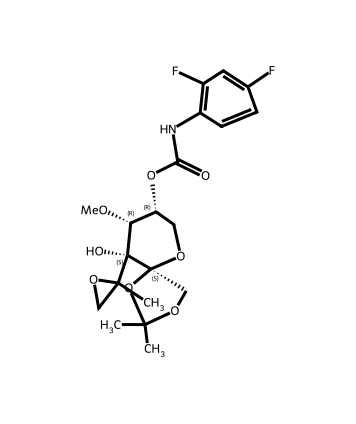 CO[C@@H]1[C@H](OC(=O)Nc2ccc(F)cc2F)CO[C@]2(COC(C)(C)O2)[C@@]1(O)C1(C)CO1